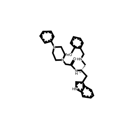 COc1ccccc1CNC[C@H](Cc1c[nH]c2ccccc12)NC(=O)CN1CCN(c2ccccc2)CC1